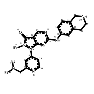 CCN(CC)Cc1cc(-n2c3nc(Nc4ccc5c(c4)CCNC5)ncc3c(=O)n2C(C)C)ccn1